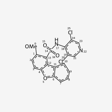 COc1ccc2oc3ccccc3c2c1S(=O)(=O)Nc1c(Cl)cncc1Cl